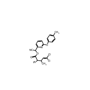 Cc1ccc(Oc2cccc(C(C#N)OC(=O)C(C(C)C)C(C)C=C(Cl)Cl)n2)cc1